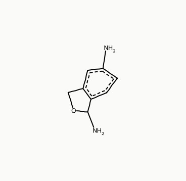 Nc1ccc2c(c1)COC2N